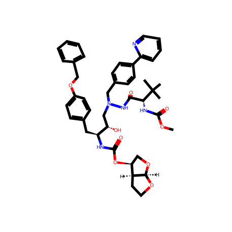 COC(=O)N[C@H](C(=O)NN(Cc1ccc(-c2ccccn2)cc1)C[C@H](O)[C@H](Cc1ccc(OCc2ccccc2)cc1)NC(=O)O[C@H]1CO[C@H]2OCC[C@H]21)C(C)(C)C